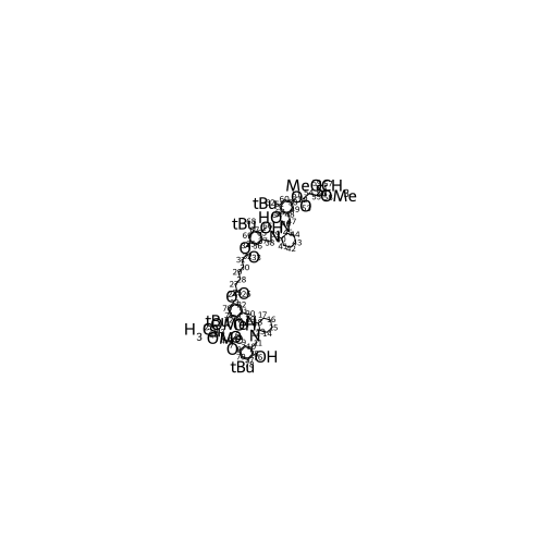 CO[Si](C)(CCC(=O)Oc1cc(/C=N/[C@@H]2CCCCC2/N=C/c2cc(OC(=O)CCCCCC(=O)Oc3cc(/C=N/C4CCCC[C@H]4/N=C/c4cc(OC(=O)CC[Si](C)(OC)OC)cc(C(C)(C)C)c4O)c(O)c(C(C)(C)C)c3)cc(C(C)(C)C)c2O)c(O)c(C(C)(C)C)c1)OC